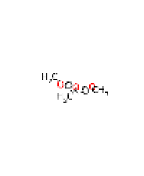 C=CCOc1ccc2c(c1)C(C)C(Cc1ccc(OC)cc1)O2